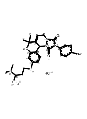 CC(=O)c1ccc(-n2c(=O)n3n(c2=O)C2C(=CC3)C(C)(C)Oc3cc(OCCC(C(=O)O)N(C)C)ccc32)cc1.Cl